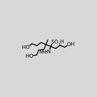 CNC(CCCO)(C(C)(CCCO)CCCO)S(=O)(=O)O